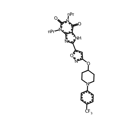 CCCn1c(=O)c2[nH]c(-c3cc(OC4CCN(c5ccc(C(F)(F)F)cc5)CC4)no3)nc2n(CCC)c1=O